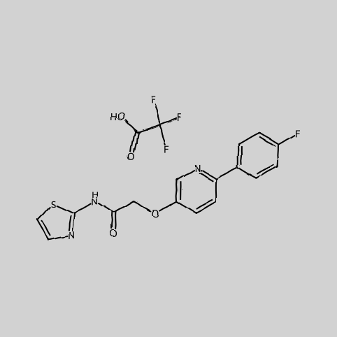 O=C(COc1ccc(-c2ccc(F)cc2)nc1)Nc1nccs1.O=C(O)C(F)(F)F